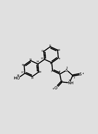 O=C1NC(=S)S/C1=C\c1ccccc1-c1ccc(O)cc1